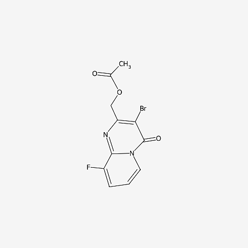 CC(=O)OCc1nc2c(F)cccn2c(=O)c1Br